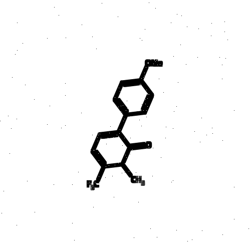 COc1ccc(C2=CC=C(C(F)(F)F)C(C)C2=O)cc1